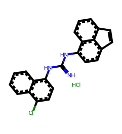 Cl.N=C(Nc1ccc(Cl)c2ccccc12)Nc1ccc2c3c(cccc13)C=C2